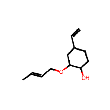 C=CC1CCC(O)C(OC/C=C/C)C1